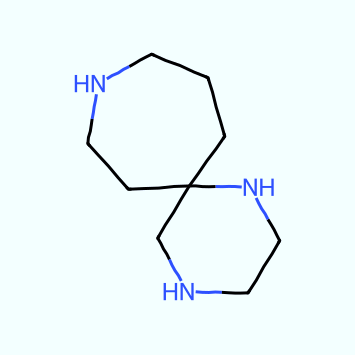 C1CNCCC2(C1)CNCCN2